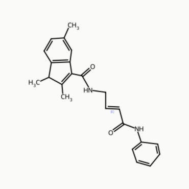 CC1=C(C(=O)NC/C=C/C(=O)Nc2ccccc2)c2cc(C)ccc2C1C